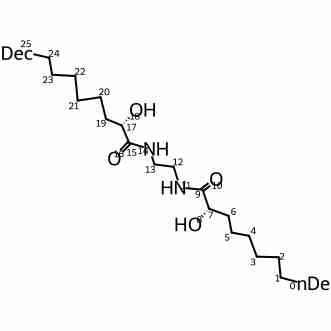 CCCCCCCCCCCCCCCC[C@H](O)C(=O)NCCNC(=O)[C@@H](O)CCCCCCCCCCCCCCCC